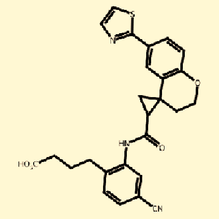 N#Cc1ccc(CCCC(=O)O)c(NC(=O)C2CC23CCOc2ccc(-c4nccs4)cc23)c1